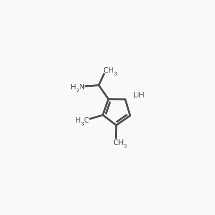 CC1=CCC(C(C)N)=C1C.[LiH]